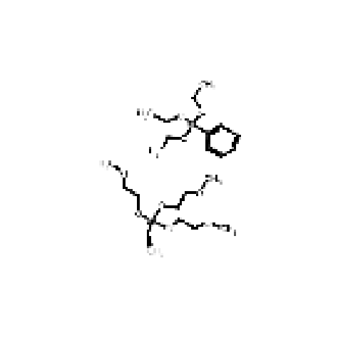 C=C[Si](OCCOC)(OCCOC)OCCOC.CCO[Si](OCC)(OCC)c1ccccc1